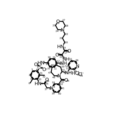 Cc1ccc(S(=O)(=O)Nc2ccc(NNC(=O)C(=O)NCCCN3CCOCC3)cc2)c(C)c1NC(=O)C[n+]1cccc(C(=O)N2CCCCCC2Nc2cccnc2)c1.Cl.[Cl-]